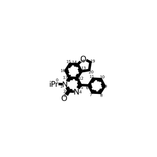 CC(C)n1c(=O)nc(-c2ccccc2)c2c3c(ccc21)OCC3